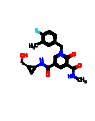 CNC(=O)c1cc(C(=O)N[C@H]2C[C@@H]2CO)cn(Cc2ccc(F)c(C)c2)c1=O